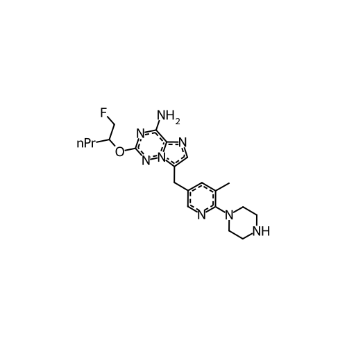 CCCC(CF)Oc1nc(N)c2ncc(Cc3cnc(N4CCNCC4)c(C)c3)n2n1